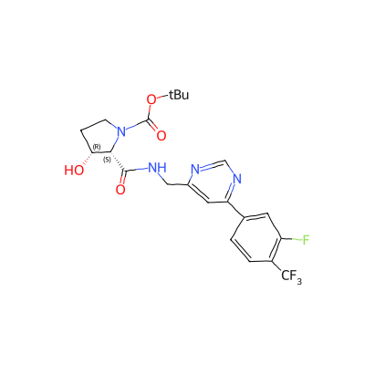 CC(C)(C)OC(=O)N1CC[C@@H](O)[C@H]1C(=O)NCc1cc(-c2ccc(C(F)(F)F)c(F)c2)ncn1